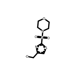 [O]Cc1csc(S(=O)(=O)N2CCOCC2)n1